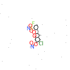 Cc1c(Cc2ccc(F)c(S(=O)(=O)N(C)C)c2)c(=O)oc2cc(OC(=O)N(C)C)c(Cl)cc12